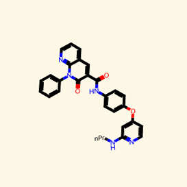 CCCNc1cc(Oc2ccc(NC(=O)c3cc4cccnc4n(-c4ccccc4)c3=O)cc2)ccn1